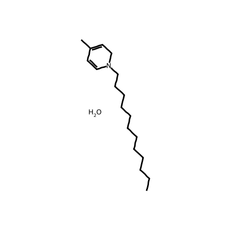 CCCCCCCCCCCCN1C=CC(C)=CC1.O